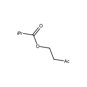 CC(=O)CCOC(=O)C(C)C